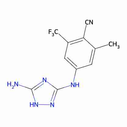 Cc1cc(Nc2n[nH]c(N)n2)cc(C(F)(F)F)c1C#N